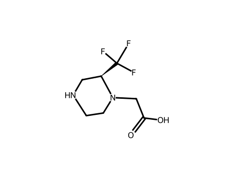 O=C(O)CN1CCNC[C@H]1C(F)(F)F